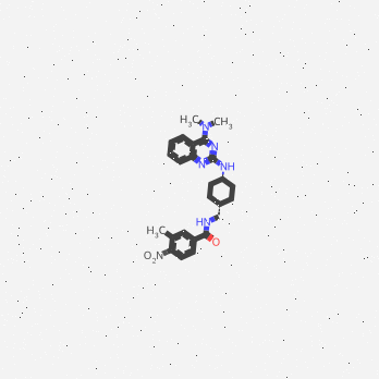 Cc1cc(C(=O)NC[C@H]2CC[C@@H](Nc3nc(N(C)C)c4ccccc4n3)CC2)ccc1[N+](=O)[O-]